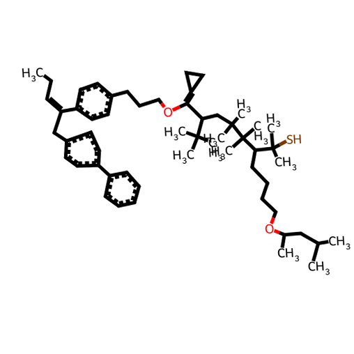 CC/C=C(/Cc1ccc(-c2ccccc2)cc1)c1ccc(CCCOC(=C2CC2)C(CC(C)(C)C(C)(C)C(CCCCOC(C)CC(C)C)C(C)(C)S)C(C)(C)C)cc1